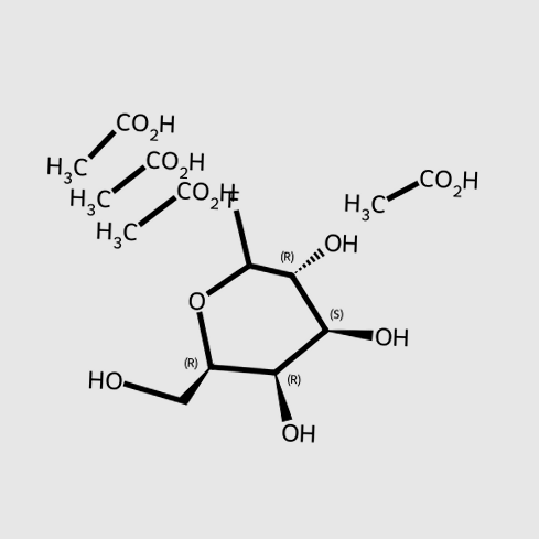 CC(=O)O.CC(=O)O.CC(=O)O.CC(=O)O.OC[C@H]1OC(F)[C@H](O)[C@@H](O)[C@H]1O